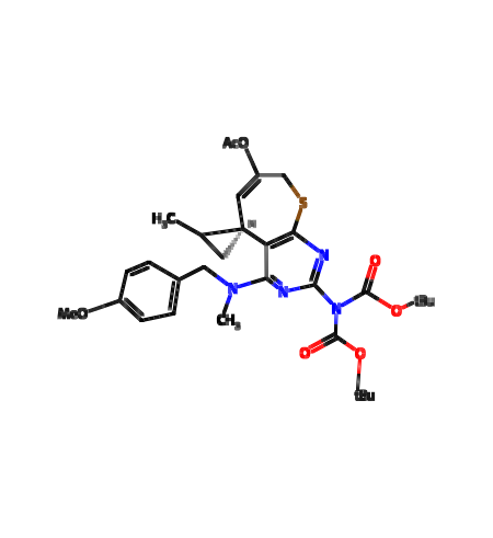 COc1ccc(CN(C)c2nc(N(C(=O)OC(C)(C)C)C(=O)OC(C)(C)C)nc3c2[C@@]2(C=C(OC(C)=O)CS3)CC2C)cc1